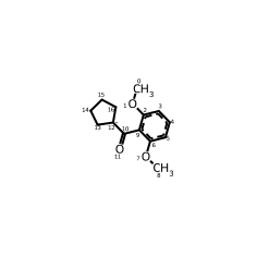 COc1cccc(OC)c1C(=O)[C]1CCCC1